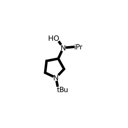 CC(C)N(O)C1CCN(C(C)(C)C)C1